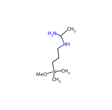 CO[Si](C)(C)CCCNC(C)N